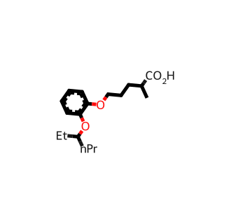 CCCC(CC)Oc1ccccc1OCCCC(C)C(=O)O